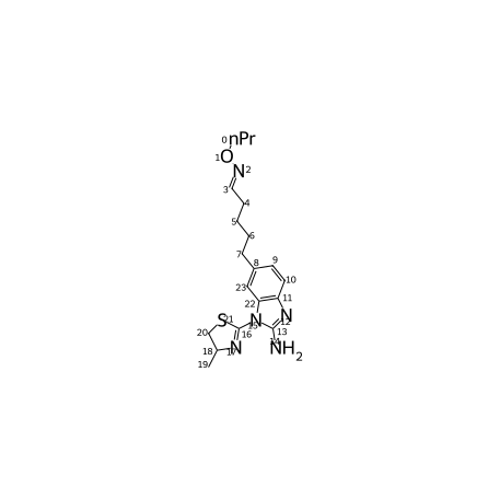 CCCON=CCCCCc1ccc2nc(N)n(C3=NC(C)CS3)c2c1